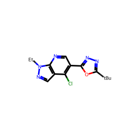 CCn1ncc2c(Cl)c(-c3nnc(C(C)(C)C)o3)cnc21